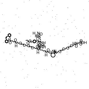 CCC(=O)OCc1ccc(NC(=O)[C@H](CCCNC(N)=O)NC(=O)[C@@H](NC(=O)[C@@H](CCCCNC(=O)COC2CCCCCc3c2nnn3CCOCCOCCOCCOCCC(=O)NCCS(=O)(=O)O)NC(=O)CCOCCOCCOCCOCCNC(=O)CCC(=O)N2Cc3ccccc3C#Cc3ccccc32)C(C)C)cc1